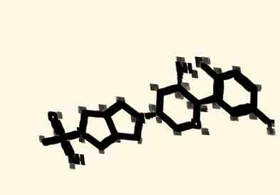 CS(=N)(=O)N1CC2CN([C@H]3CO[C@H](c4cc(F)ccc4F)[C@@H](N)C3)CC2C1